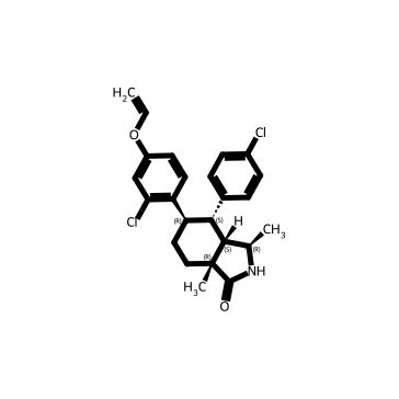 C=COc1ccc([C@@H]2CC[C@@]3(C)C(=O)N[C@H](C)[C@H]3[C@H]2c2ccc(Cl)cc2)c(Cl)c1